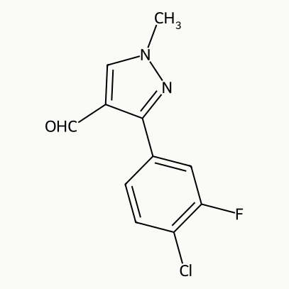 Cn1cc(C=O)c(-c2ccc(Cl)c(F)c2)n1